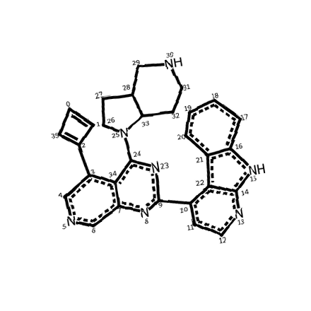 C1=CC(c2cncc3nc(-c4ccnc5[nH]c6ccccc6c45)nc(N4CCC5CNCCC54)c23)=C1